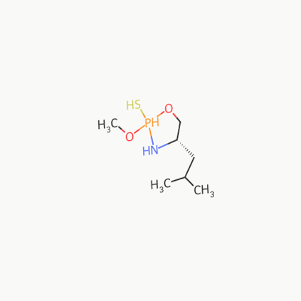 CO[PH]1(S)N[C@@H](CC(C)C)CO1